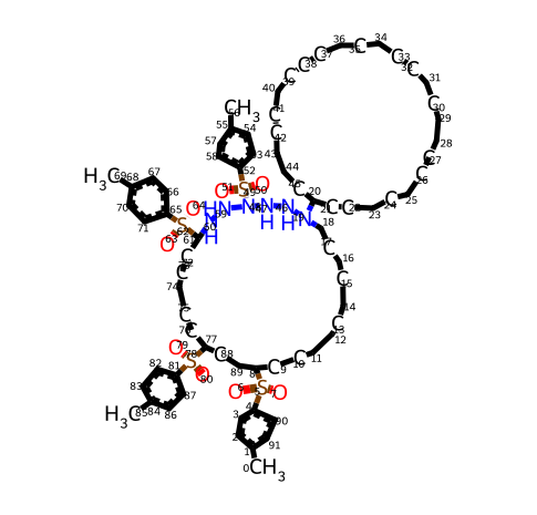 Cc1ccc(S(=O)(=O)C2CCCCCCCCCCN(C3CCCCCCCCCCCCCCCCCCCCCCCCC3)NNN(S(=O)(=O)c3ccc(C)cc3)NNC(S(=O)(=O)c3ccc(C)cc3)CCCCCC(S(=O)(=O)c3ccc(C)cc3)CC2)cc1